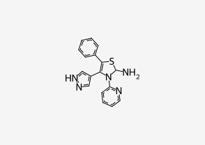 NC1SC(c2ccccc2)=C(c2cn[nH]c2)N1c1ccccn1